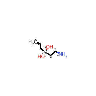 C=CC[Si](O)(O)CCN